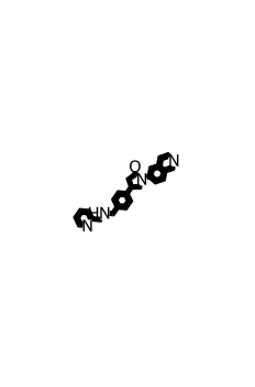 O=C1CC(c2ccc(CNCc3ccccn3)cc2)CN1c1ccc2cnccc2c1